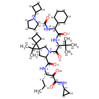 CCC[C@H](NC(=O)C1C[C@@]2(CN1C(=O)[C@@H](NC(=O)[C@@H](NC(=O)[C@@H]1CCCN1C1CCC1)C1CCCCC1)C(C)(C)C)C(C)(C)C21CCC1)C(=O)C(=O)NC1CC1